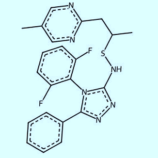 Cc1cnc(CC(C)SNc2nnc(-c3ccccc3)n2-c2c(F)cccc2F)nc1